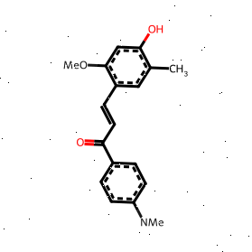 CNc1ccc(C(=O)/C=C/c2cc(C)c(O)cc2OC)cc1